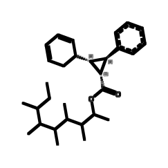 CCC(C)C(C)C(C)C(C)C(C)C(C)OC(=O)[C@H]1[C@H](c2ccccc2)[C@H]1C1C=CC=CC1